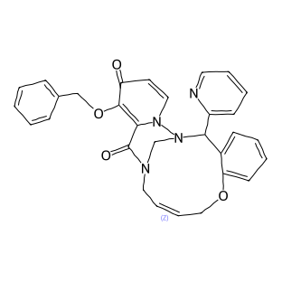 O=C1c2c(OCc3ccccc3)c(=O)ccn2N2CN1C/C=C\COc1ccccc1C2c1ccccn1